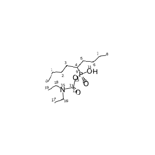 CCCCC(CCCC)P(=O)(O)OC(=O)N(CC)CC